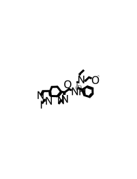 CCN(CCOC)C[C@@H](NC(=O)c1nn(C)c2c1CCc1cnc(I)nc1-2)c1ccccc1